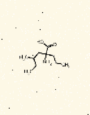 CCCC(N)(CC(C)CC)C(=O)O